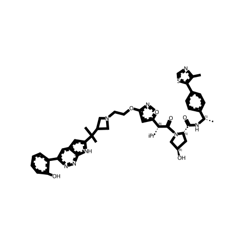 Cc1ncsc1-c1ccc([C@H](C)NC(=O)[C@@H]2C[C@@H](O)CN2C(=O)[C@@H](c2cc(OCCN3CC(C(C)(C)c4cc5cc(-c6ccccc6O)nnc5[nH]4)C3)no2)C(C)C)cc1